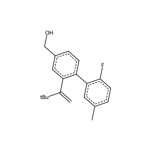 C=C(c1cc(CO)ccc1-c1cc(C)ccc1F)C(C)(C)C